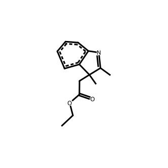 CCOC(=O)CC1(C)C(C)=Nc2ccccc21